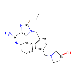 CCSc1nc2c(N)nc3ccccc3c2n1Cc1ccc(CN2CC[C@H](O)C2)cc1